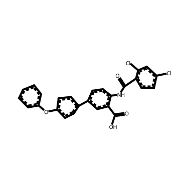 O=C(Nc1ccc(-c2ccc(Oc3ccccc3)cc2)cc1C(=O)O)c1ccc(Cl)cc1Cl